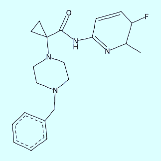 CC1N=C(NC(=O)C2(N3CCN(Cc4ccccc4)CC3)CC2)C=CC1F